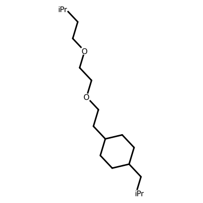 CC(C)CCOCCOCCC1CCC(CC(C)C)CC1